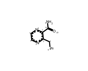 CC(C)Cc1nccnc1C(N)=O